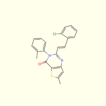 Cc1cc2nc(C=Cc3ccccc3Cl)n(-c3ccccc3C)c(=O)c2s1